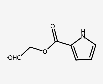 O=[C]COC(=O)c1ccc[nH]1